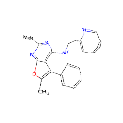 CNc1nc(NCc2ccccn2)c2c(-c3ccccc3)c(C)oc2n1